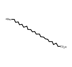 [CH2]CCCCCCCCC[CH]CCCCCCCCCCCCCCCCCCCCCC(=O)O